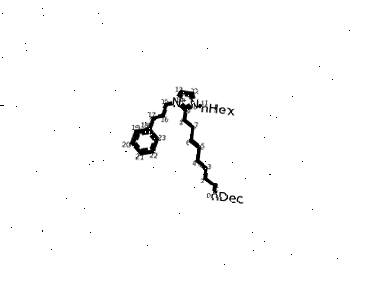 CCCCCCCCCCCCCCCCCCc1n(CCCCCC)cc[n+]1CCCc1ccccc1